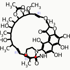 COC1/C=C/OC2(C)Oc3c(C)c(O)c4c(O)c(c(N5CCOCC5)c(O)c4c3C2=O)NC(=O)/C(C)=C/C=C/C(C)C(O)C(C)C(O)C(C)C(OC(C)=O)C1C